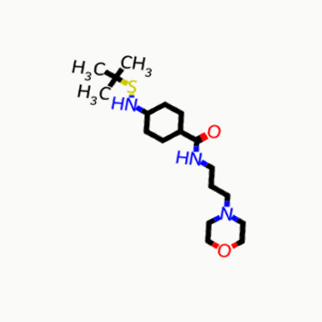 CC(C)(C)SNC1CCC(C(=O)NCCCN2CCOCC2)CC1